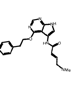 CNC/C=C/C(=O)Nc1c[nH]c2ncnc(OCCc3ccccc3)c12